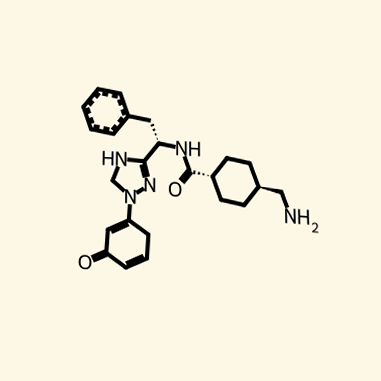 NC[C@H]1CC[C@H](C(=O)N[C@@H](Cc2ccccc2)C2=NN(C3=CC(=O)C=CC3)CN2)CC1